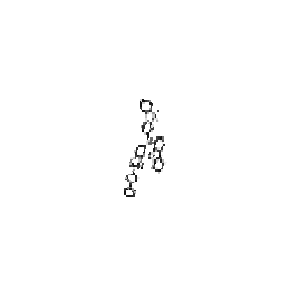 CC1(C)c2ccccc2-c2ccc(N(c3ccc4sc(-c5ccc(-c6ccccc6)cc5)nc4c3)c3cccc4c3oc3ccccc34)cc21